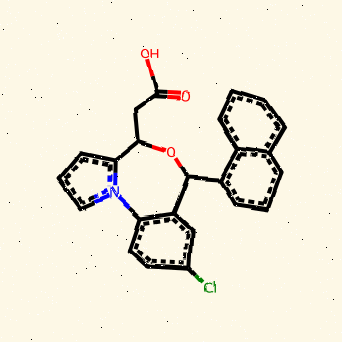 O=C(O)CC1OC(c2cccc3ccccc23)c2cc(Cl)ccc2-n2cccc21